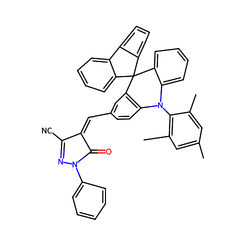 Cc1cc(C)c(N2c3ccccc3C3(c4ccccc4-c4ccccc43)c3cc(/C=C4\C(=O)N(c5ccccc5)N=C4C#N)ccc32)c(C)c1